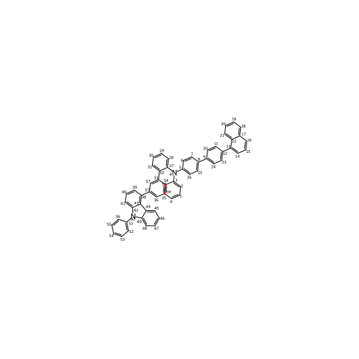 c1ccc(N(c2ccc(-c3ccc(-c4cccc5ccccc45)cc3)cc2)c2ccccc2-c2cccc(-c3cccc4c3c3ccccc3n4-c3ccccc3)c2)cc1